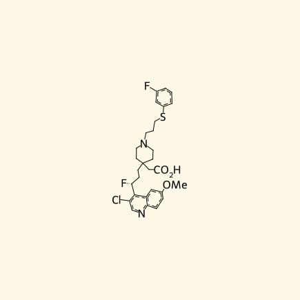 COc1ccc2ncc(Cl)c([C@H](F)CCC3(CC(=O)O)CCN(CCCSc4cccc(F)c4)CC3)c2c1